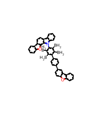 Bc1c(B)c(-n2c3ccccc3c3ccc4c5ccccc5oc4c32)c(B)c(B)c1-c1ccc(-c2ccc3oc4ccccc4c3c2)cc1